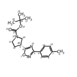 Cc1ccc(-c2noc([C@@H]3CCN(C(=O)OC(C)(C)C)C3)n2)cc1